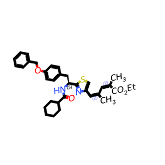 CCOC(=O)/C(C)=C\C(C)=C/c1csc([C@H](Cc2ccc(OCc3ccccc3)cc2)NC(=O)C2CCCCC2)n1